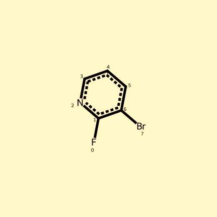 Fc1nc[c]cc1Br